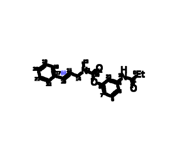 CCC(=O)Nc1cccc(OC(=O)N(C)C/C=C/c2ccccc2)c1